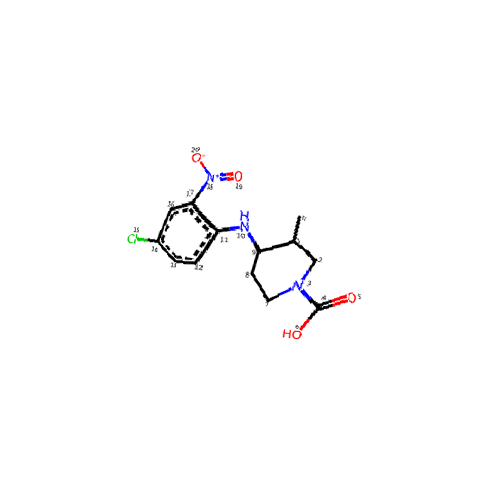 CC1CN(C(=O)O)CCC1Nc1ccc(Cl)cc1[N+](=O)[O-]